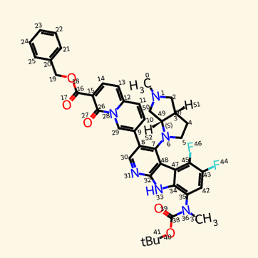 CN1C[C@@H]2CCN(c3c(-c4ccc5ccc(C(=O)OCc6ccccc6)c(=O)n5c4)cnc4[nH]c5c(N(C)C(=O)OC(C)(C)C)cc(F)c(F)c5c34)[C@@H]2C1